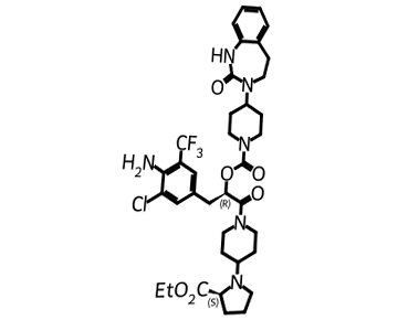 CCOC(=O)[C@@H]1CCCN1C1CCN(C(=O)[C@@H](Cc2cc(Cl)c(N)c(C(F)(F)F)c2)OC(=O)N2CCC(N3CCc4ccccc4NC3=O)CC2)CC1